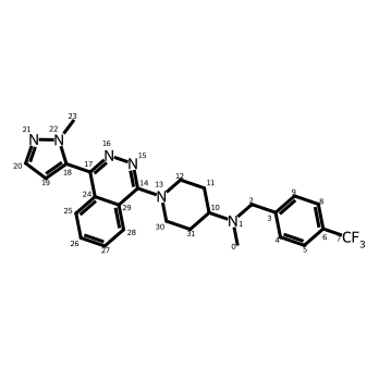 CN(Cc1ccc(C(F)(F)F)cc1)C1CCN(c2nnc(-c3ccnn3C)c3ccccc23)CC1